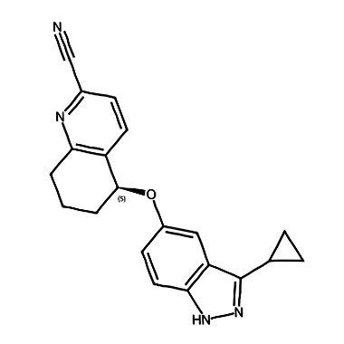 N#Cc1ccc2c(n1)CCC[C@@H]2Oc1ccc2[nH]nc(C3CC3)c2c1